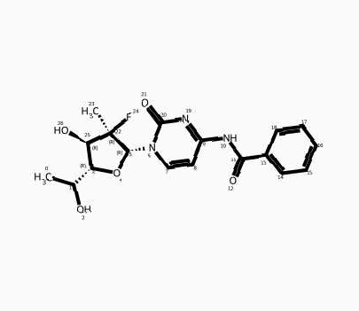 CC(O)[C@H]1O[C@@H](n2ccc(NC(=O)c3ccccc3)nc2=O)[C@](C)(F)[C@@H]1O